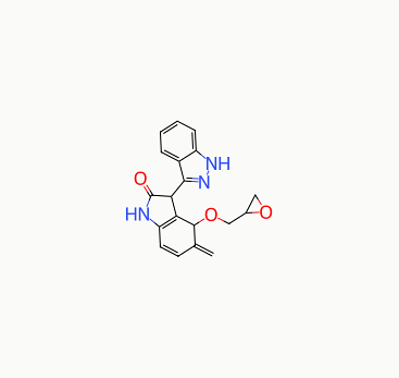 C=C1C=CC2=C(C1OCC1CO1)C(c1n[nH]c3ccccc13)C(=O)N2